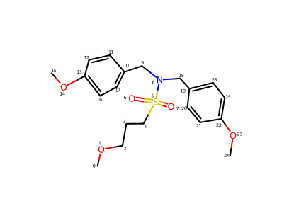 COCCCS(=O)(=O)N(Cc1ccc(OC)cc1)Cc1ccc(OC)cc1